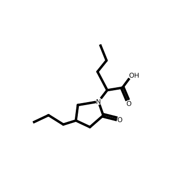 CCCC1CC(=O)N(C(CCC)C(=O)O)C1